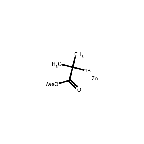 CCCCC(C)(C)C(=O)OC.[Zn]